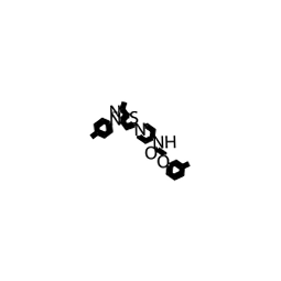 Cc1ccc(-n2nc(C)c3sc(N4CCC(NC(=O)COc5cccc(C)c5)CC4)cc32)cc1